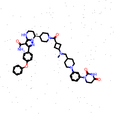 CN(CC1CCN(c2cccc(N3CCC(=O)NC3=O)c2)CC1)C1CC(C(=O)N2CCC([C@@H]3CCNc4c(C(N)=O)c(-c5ccc(Oc6ccccc6)cc5)nn43)CC2)C1